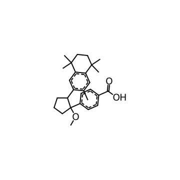 COC1(c2ccc(C(=O)O)cc2)CCCC1c1cc2c(cc1C)C(C)(C)CCC2(C)C